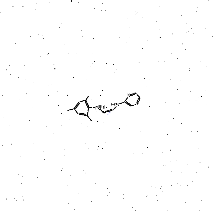 Cc1cc(C)c(N/C=C\Nc2ccccn2)c(C)c1